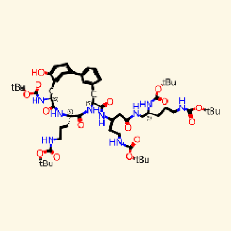 CC(C)(C)OC(=O)NCCC[C@@H](CNC(=O)CC(CCNC(=O)OC(C)(C)C)NC(=O)[C@@H]1Cc2cccc(c2)-c2ccc(O)c(c2)C[C@H](NC(=O)OC(C)(C)C)C(=O)N[C@@H](CCCNC(=O)OC(C)(C)C)C(=O)N1)NC(=O)OC(C)(C)C